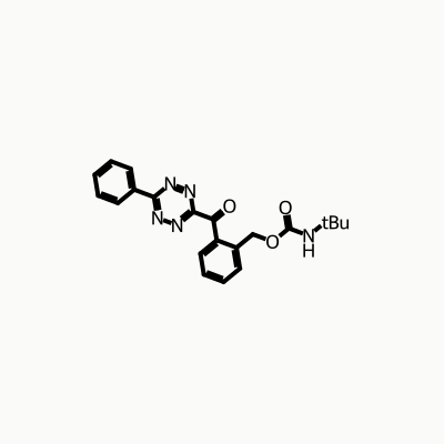 CC(C)(C)NC(=O)OCc1ccccc1C(=O)c1nnc(-c2ccccc2)nn1